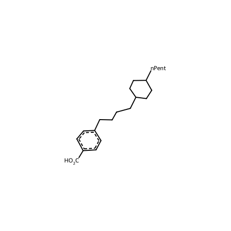 CCCCCC1CCC(CCCCc2ccc(C(=O)O)cc2)CC1